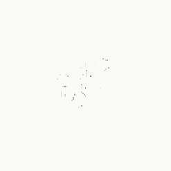 CCc1c(-c2cccc(C#N)c2)n(-c2ccc(F)cc2)c(=O)n1-c1ccc(F)cc1